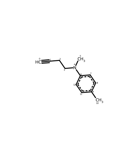 C#CCCN(C)c1ccc(C)cc1